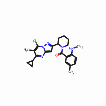 CSNc1ccc(C)cc1C(=O)N1CCCCC1c1cc2nc(C3CC3)c(C)c(Cl)n2n1